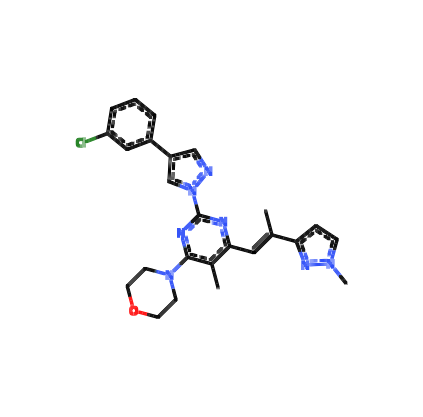 C/C(=C\c1nc(-n2cc(-c3cccc(Cl)c3)cn2)nc(N2CCOCC2)c1C)c1ccn(C)n1